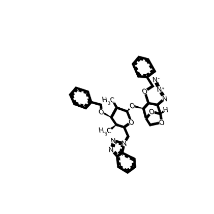 CC1[C@H](O[C@@H]2C3CO[C@H](O3)C(N=[N+]=[N-])C2OCc2ccccc2)OC(Cn2nnc3ccccc32)[C@@H](C)[C@H]1OCc1ccccc1